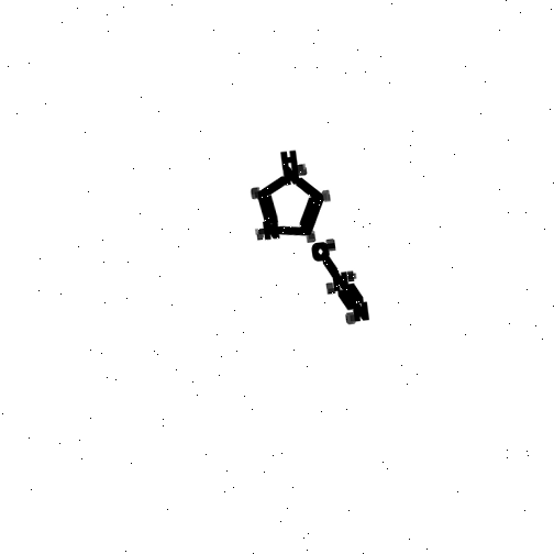 N#[N+][O-].c1c[nH]cn1